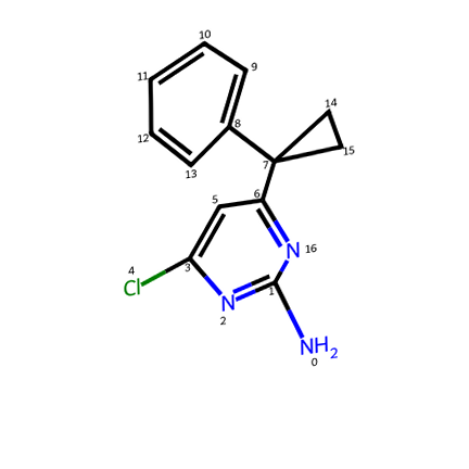 Nc1nc(Cl)cc(C2(c3ccccc3)CC2)n1